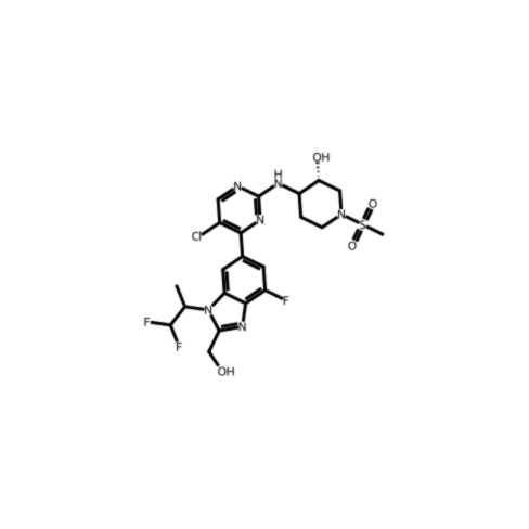 CC(C(F)F)n1c(CO)nc2c(F)cc(-c3nc(NC4CCN(S(C)(=O)=O)C[C@H]4O)ncc3Cl)cc21